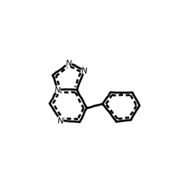 c1ccc(-c2cncn3cnnc23)cc1